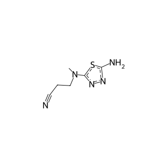 CN(CCC#N)c1nnc(N)s1